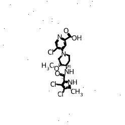 CO[C@H]1CN(c2cc(C(=O)O)ncc2Cl)CC[C@H]1NC(=O)c1[nH]c(C)c(Cl)c1Cl